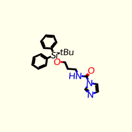 CC(C)(C)[Si](OCCCNC(=O)n1ccnc1)(c1ccccc1)c1ccccc1